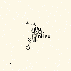 CCCCCCn1c(=O)c(OCC=C(C)CCC=C(C)C)c(OCCCC)c2ccc(NC(=O)C=Cc3ccccc3)cc21